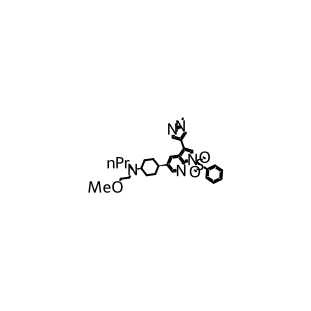 CCCN(CCOC)[C@H]1CC[C@@H](c2cnc3c(c2)c(-c2cnn(C)c2)cn3S(=O)(=O)c2ccccc2)CC1